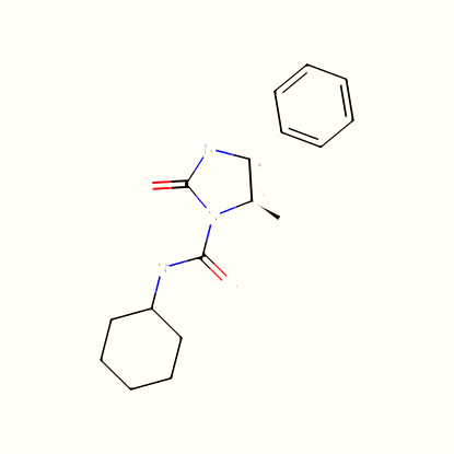 C[C@@H]1[C@@H](c2ccccc2)NC(=O)N1C(=O)NC1CCCCC1